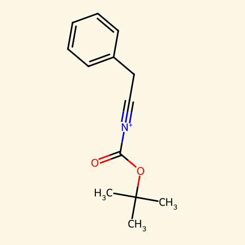 CC(C)(C)OC(=O)[N+]#CCc1ccccc1